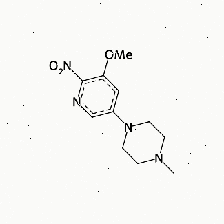 COc1cc(N2CCN(C)CC2)cnc1[N+](=O)[O-]